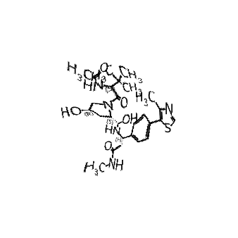 CNC(=O)C[C@H](NC(O)[C@@H]1C[C@@H](O)CN1C(=O)[C@@H](NC(C)=O)C(C)(C)C)c1ccc(-c2scnc2C)cc1